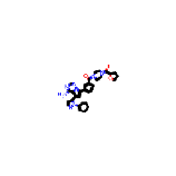 Nc1ncnn2c(-c3cccc(C(=O)N4CCN(C(=O)C5CCCO5)CC4)c3)cc(-c3ccnn3C3CCCCC3)c12